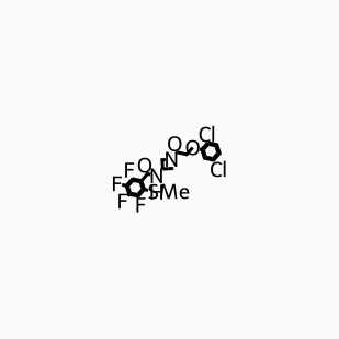 CSc1c(F)c(F)c(F)c(F)c1C(=O)NC1CN(C(=O)COc2cc(Cl)ccc2Cl)C1